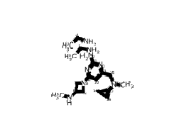 CCN.CCN.CNC1CN(c2cc(CN(C)C3CC3)nc(N)n2)C1